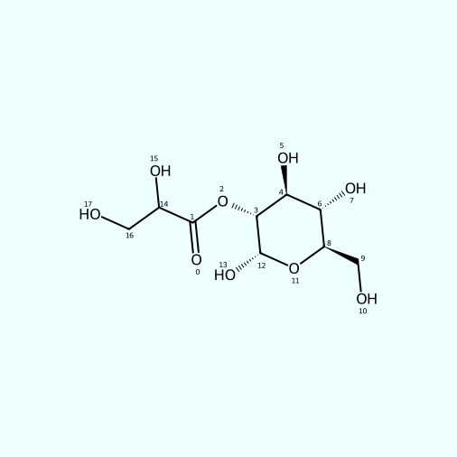 O=C(O[C@@H]1[C@@H](O)[C@H](O)[C@@H](CO)O[C@@H]1O)C(O)CO